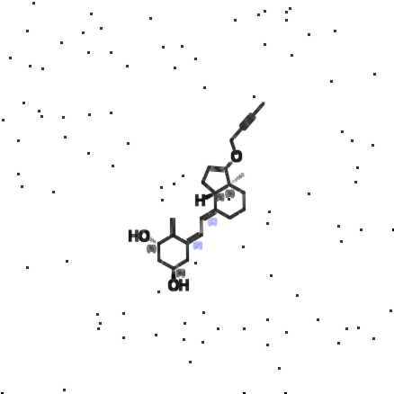 C=C1/C(=C\C=C2/CCC[C@]3(C)C(OCC#CC)=CC[C@@H]23)C[C@@H](O)C[C@@H]1O